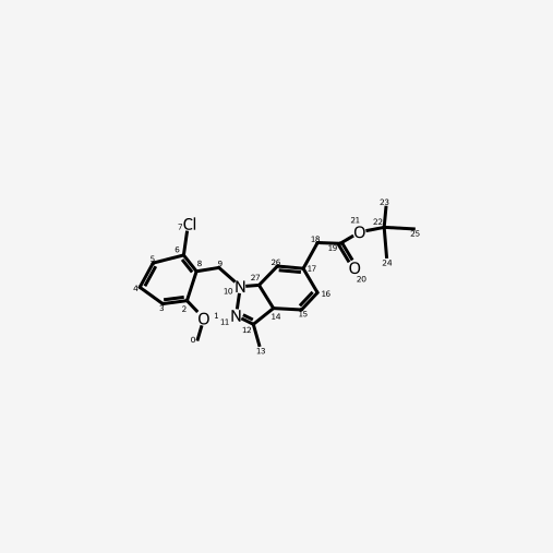 COc1cccc(Cl)c1CN1N=C(C)C2C=CC(CC(=O)OC(C)(C)C)=CC21